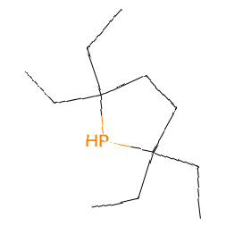 CCC1(CC)CCC(CC)(CC)P1